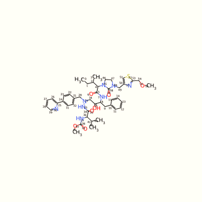 CCC(C)C(C(=O)NC(Cc1ccccc1)C(O)CN(Cc1ccc(-c2ccccn2)cc1)NC(=O)C(NC(=O)OC)C(C)C)N1CCN(Cc2csc(COC)n2)C1=O